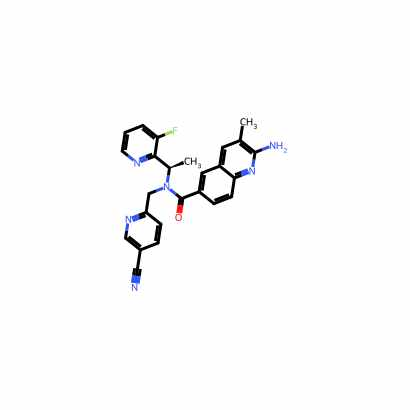 Cc1cc2cc(C(=O)N(Cc3ccc(C#N)cn3)[C@H](C)c3ncccc3F)ccc2nc1N